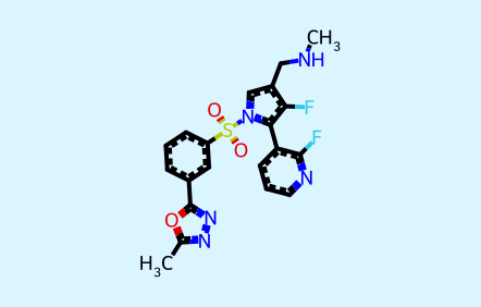 CNCc1cn(S(=O)(=O)c2cccc(-c3nnc(C)o3)c2)c(-c2cccnc2F)c1F